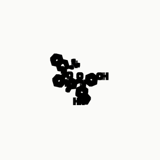 Cc1cc(C(=O)N(c2ccc(O)cc2)c2ccc3[nH]ccc3c2)cn1-c1ccccc1C(=O)N1Cc2ccccc2C[C@H]1CN(C)C